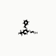 OCCOc1ncc(C(F)(F)F)cc1SCc1ccccc1